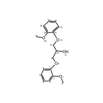 COc1ccccc1OCC(O)COc1ccccc1OC